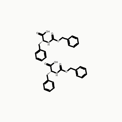 O=C(N[C@H](Cc1ccccc1)C(=O)O)OCc1ccccc1.O=C(N[C@H](Cc1ccccc1)C(=O)O)OCc1ccccc1